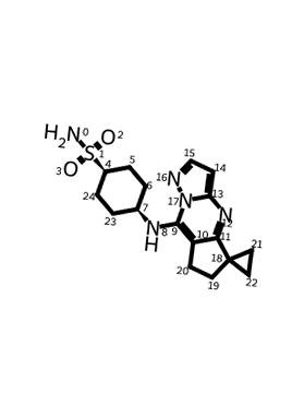 NS(=O)(=O)[C@H]1CC[C@@H](Nc2c3c(nc4ccnn24)C2(CC3)CC2)CC1